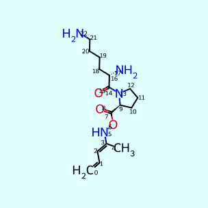 C=C/C=C(\C)NOC(=O)[C@@H]1CCCN1C(=O)[C@@H](N)CCCCN